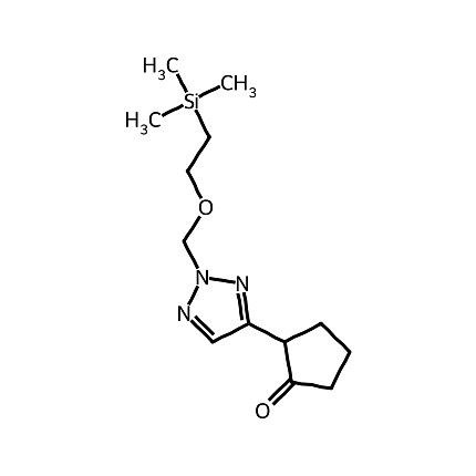 C[Si](C)(C)CCOCn1ncc(C2CCCC2=O)n1